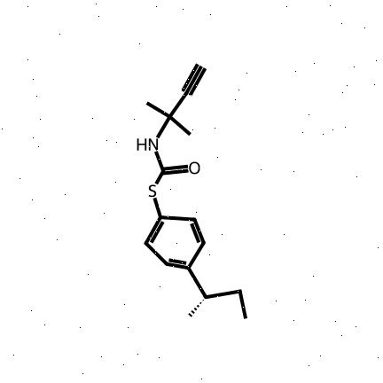 C#CC(C)(C)NC(=O)Sc1ccc([C@@H](C)CC)cc1